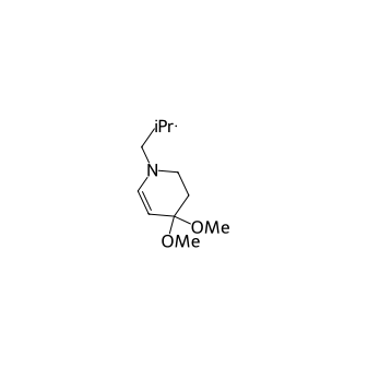 COC1(OC)C=CN(C[C](C)C)CC1